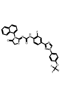 O=C(/N=C1\SCC(=O)N1c1cccc2ccccc12)Nc1ccc(-c2ncn(-c3ccc(OC(F)(F)F)cc3)n2)cc1F